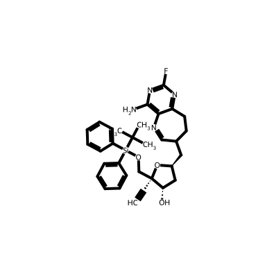 C#C[C@]1(CO[Si](c2ccccc2)(c2ccccc2)C(C)(C)C)O[C@@H](CC2C=Nc3c(N)nc(F)nc3CC2)C[C@@H]1O